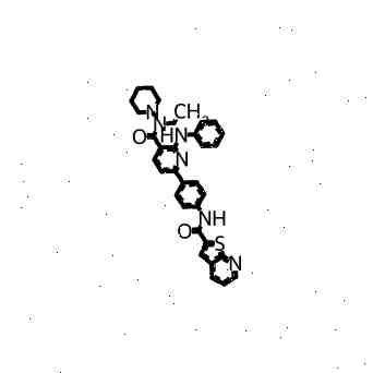 CCN(C(=O)c1ccc(-c2ccc(NC(=O)c3cc4cccnc4s3)cc2)nc1Nc1ccccc1)N1CCCCC1